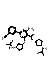 CC(=O)N[C@H]1CC[C@@H](OC(=O)c2c(N)nc(-c3cccc(C#N)c3)nc2O[C@@H]2CC[C@H](NC(C)=O)C2)C1